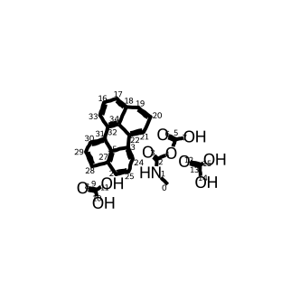 CNC(=O)OC(=O)O.O=C(O)O.O=C(O)O.c1cc2cccc3c4cccc5cccc(c(c1)c23)c54